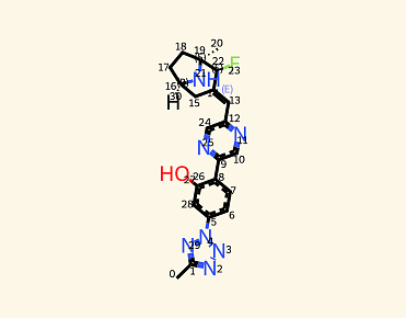 Cc1nnn(-c2ccc(-c3cnc(/C=C4\C[C@H]5CC[C@](C)(N5)[C@H]4F)cn3)c(O)c2)n1